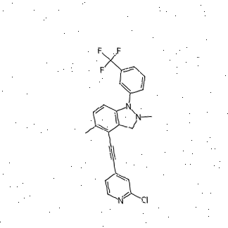 Cc1ccc2c(c1C#Cc1ccnc(Cl)c1)CN(C)N2c1cccc(C(F)(F)F)c1